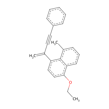 C=C(C#Cc1ccccc1)c1ccc(OCC)c2cccc(C)c12